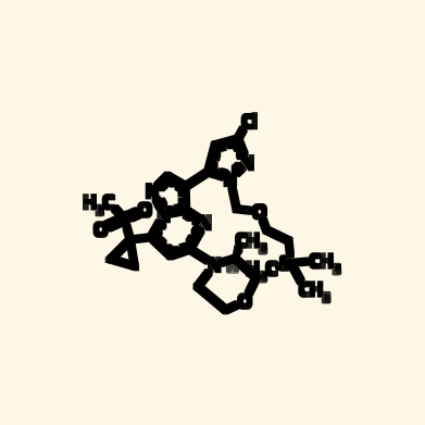 C[C@H]1COCCN1c1cc(C2(S(C)(=O)=O)CC2)n2ncc(-c3cc(Cl)nn3COCC[Si](C)(C)C)c2n1